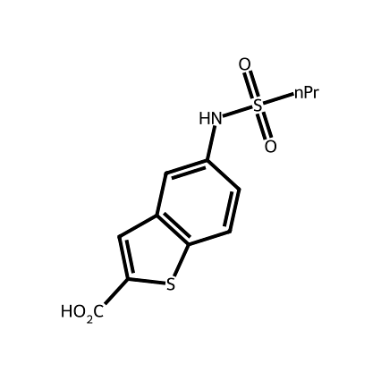 CCCS(=O)(=O)Nc1ccc2sc(C(=O)O)cc2c1